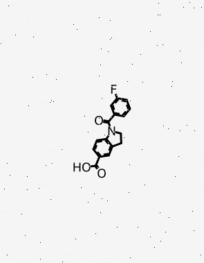 O=C(O)c1ccc2c(c1)CCN2C(=O)c1cccc(F)c1